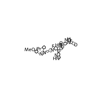 COc1ccc(CN2CCN(C3CC4(CCN(c5cc(Oc6cnc7[nH]ccc7c6)c(C(=O)NS(=O)(=O)c6ccc(NCC7(F)CCOCC7)c([N+](=O)[O-])c6)cc5F)CC4)C3)[C@H](c3ccccc3C(C)C)C2)cc1